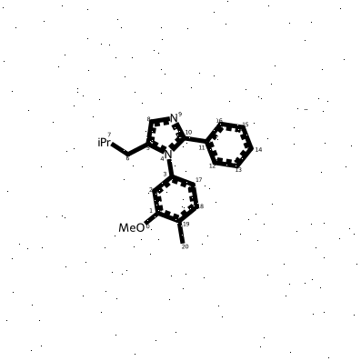 COc1cc(-n2c(CC(C)C)cnc2-c2ccccc2)ccc1C